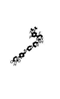 Cc1nc2c(F)cc(-c3nc(Nc4ccc(N5CCC(N(C)Cc6ccc(N7CCC(=O)NC7=O)nc6)CC5)cn4)ncc3F)cc2n1C(C)C